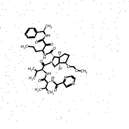 CCCC(NC(=O)[C@@H]1[C@H]2CC[C@@H](OCOC)[C@H]2CN1C(=O)[C@@H](NC(=O)[C@H](NC(=O)c1cnccn1)C(C)C)C(C)C)C(=O)C(=O)N[C@H](C)c1ccccc1